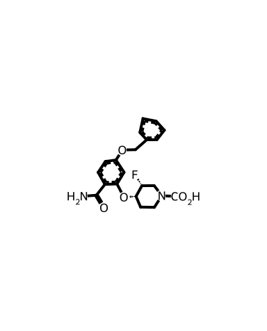 NC(=O)c1ccc(OCc2ccccc2)cc1O[C@H]1CCN(C(=O)O)C[C@H]1F